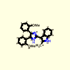 COc1ccccc1-c1nc(-c2c(C)[nH]c3ccccc23)[nH]c1-c1ccccc1OC